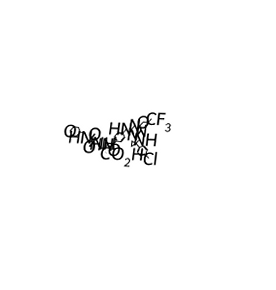 O=C(NCC1CCOCC1)C(=O)NC[C@H](NC(=O)c1ccc(Nc2nc(NC3(c4ccc(Cl)cc4)CC3)nc(OCC(F)(F)F)n2)cc1)C(=O)O